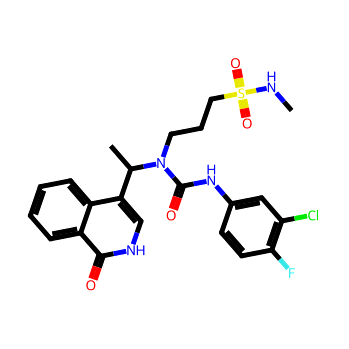 CNS(=O)(=O)CCCN(C(=O)Nc1ccc(F)c(Cl)c1)C(C)c1c[nH]c(=O)c2ccccc12